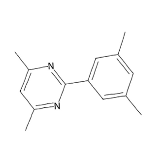 Cc1cc(C)cc(-c2nc(C)cc(C)n2)c1